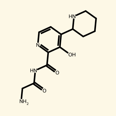 NCC(=O)NC(=O)c1nccc(C2CCCCN2)c1O